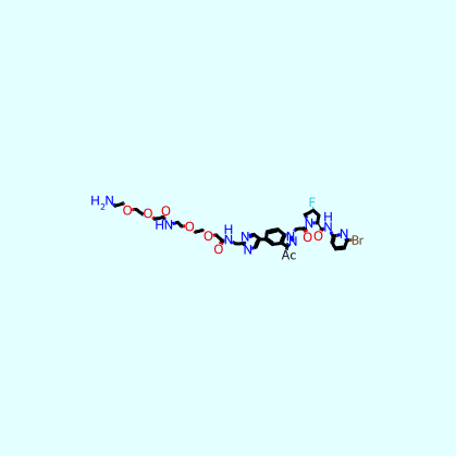 CC(=O)c1nn(CC(=O)N2C[C@H](F)C[C@H]2C(=O)Nc2cccc(Br)n2)c2ccc(-c3cnc(CNC(=O)COCCOCCNC(=O)COCCOCCN)nc3)cc12